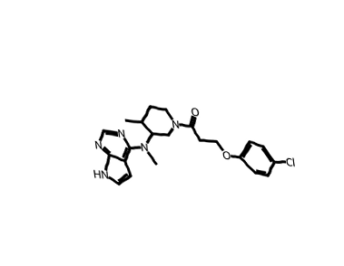 CC1CCN(C(=O)CCOc2ccc(Cl)cc2)CC1N(C)c1ncnc2[nH]ccc12